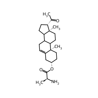 CC(=O)[C@H]1CCC2C3CC=C4C[C@@H](OC(=O)[C@H](C)N)CC[C@]4(C)C3CC[C@@]21C